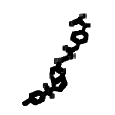 Cc1ccc(S(=O)(=O)n2ccc3nc(NNC(=O)C[C@H]4CC[C@H](N(C)C(=O)O)CC4)cnc32)cc1